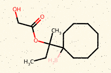 BC1(C(C)(CC)OC(=O)CO)CCCCCCC1